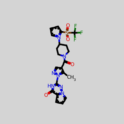 Cc1c(C(=O)N2CCC(n3cccc3S(=O)(=O)C(F)(F)F)CC2)cnn1-c1nn2cccc2c(=O)[nH]1